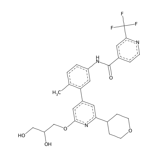 Cc1ccc(NC(=O)c2ccnc(C(F)(F)F)c2)cc1-c1cc(OCC(O)CO)nc(C2CCOCC2)c1